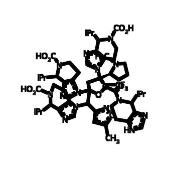 Cc1cc(C(n2cnc3c2CCN(C(=O)O)C3C(C)C)C(CC(OC(=O)N2CCc3[nH]cnc3C2C(C)C)([C@@H]2CCCN2C)n2cnc3c2CCN(C(=O)O)C3C(C)C)(OCC(F)(F)F)n2cnc3c2CCN(C(=O)O)C3C(C)C)no1